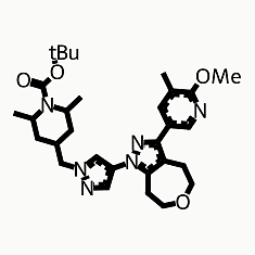 COc1ncc(-c2nn(-c3cnn(CC4CC(C)N(C(=O)OC(C)(C)C)C(C)C4)c3)c3c2CCOCC3)cc1C